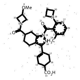 COC1CN(C(=O)C2CCc3c(C4=CCC(C(=O)O)CC4)nn(C(=O)c4c(C)ccnc4N4CCC4)c3C2)C1